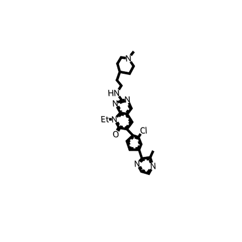 CCn1c(=O)c(-c2ccc(-c3nccnc3C)cc2Cl)cc2cnc(NCCC3CCN(C)CC3)nc21